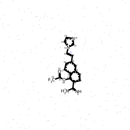 N=C(N)c1ccc2cc(/C=C/n3ccnc3)ccc2c1OC(=O)C(F)(F)F